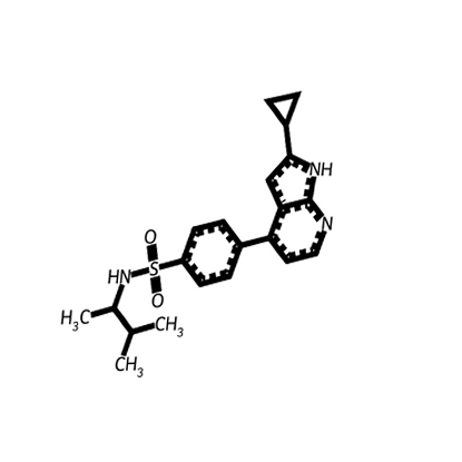 CC(C)C(C)NS(=O)(=O)c1ccc(-c2ccnc3[nH]c(C4CC4)cc23)cc1